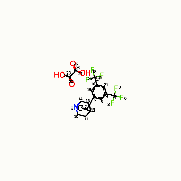 FC(F)(F)c1cc(C2CN3CCC2CC3)cc(C(F)(F)F)c1.O=C(O)C(=O)O